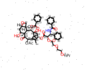 CCCOCCOCC(=O)O[C@@H](C(=O)O[C@H]1C[C@@]2(O)[C@@H](OC(=O)c3ccccc3)[C@@H]3[C@]4(OC(C)=O)CO[C@@H]4C[C@H](O)[C@@]3(C)C(=O)[C@H](OC(C)=O)C(=C1C)C2(C)C)[C@@H](NC(=O)c1ccccc1)c1ccccc1